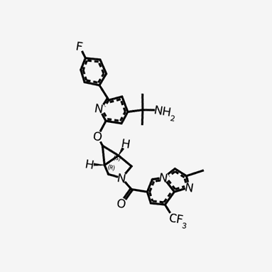 Cc1cn2cc(C(=O)N3C[C@@H]4C(Oc5cc(C(C)(C)N)cc(-c6ccc(F)cc6)n5)[C@@H]4C3)cc(C(F)(F)F)c2n1